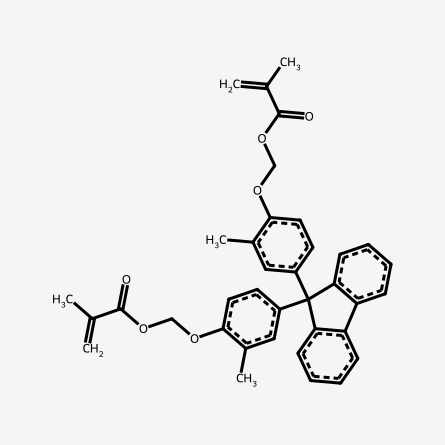 C=C(C)C(=O)OCOc1ccc(C2(c3ccc(OCOC(=O)C(=C)C)c(C)c3)c3ccccc3-c3ccccc32)cc1C